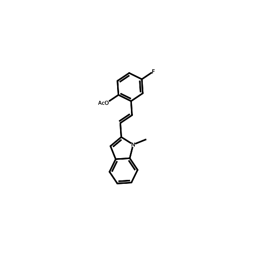 CC(=O)Oc1ccc(F)cc1C=Cc1cc2ccccc2n1C